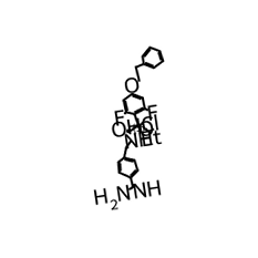 CCO[C@H](C(=O)NCc1ccc(C(=N)N)cc1)c1c(F)cc(OCCc2ccccc2)cc1F.Cl